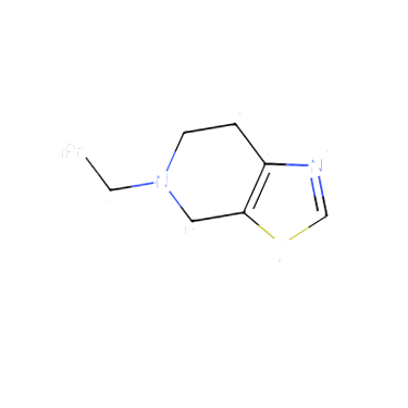 CC(C)CN1CCc2n[c]sc2C1